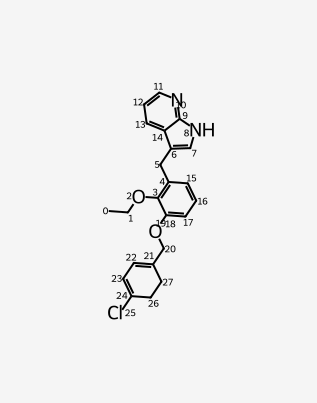 CCOc1c(Cc2c[nH]c3ncccc23)cccc1OCC1=CC=C(Cl)CC1